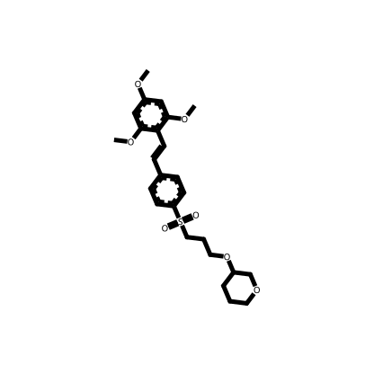 COc1cc(OC)c(C=Cc2ccc(S(=O)(=O)CCCOC3CCCOC3)cc2)c(OC)c1